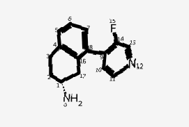 N[C@@H]1CCc2cccc(-c3ccncc3F)c2C1